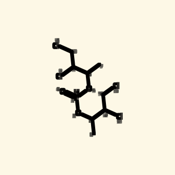 CC(O[PH](=O)OC(C)C(Cl)CCl)C(Cl)CCl